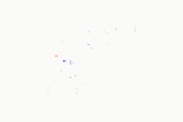 O=C(O)c1ccc2c(c1)nc(-c1cccc(C(=O)Nc3ccc(Cl)c4ccccc34)c1)n2C1CCCCC1